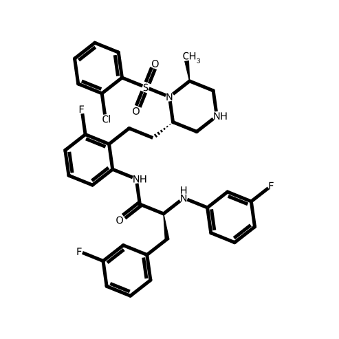 C[C@H]1CNC[C@H](CCc2c(F)cccc2NC(=O)[C@H](Cc2cccc(F)c2)Nc2cccc(F)c2)N1S(=O)(=O)c1ccccc1Cl